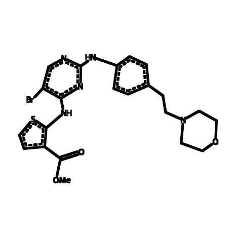 COC(=O)c1ccsc1Nc1nc(Nc2ccc(CCN3CCOCC3)cc2)ncc1Br